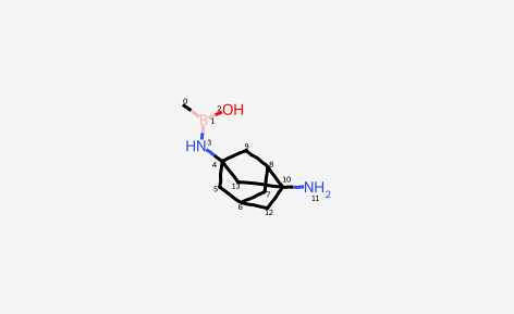 CB(O)NC12CC3CC(C1)C(N)(C3)C2